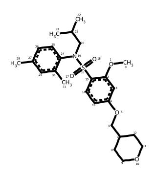 COc1cc(OCC2CCOCC2)ccc1S(=O)(=O)N(CC(C)C)c1ccc(C)cc1C